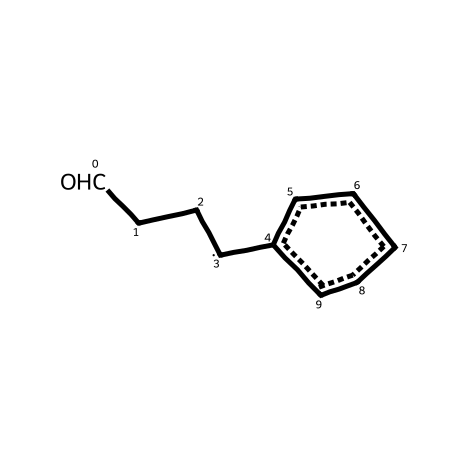 O=CCC[CH]c1ccccc1